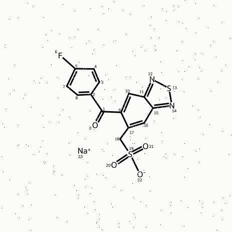 O=C(c1ccc(F)cc1)c1cc2nsnc2cc1CS(=O)(=O)[O-].[Na+]